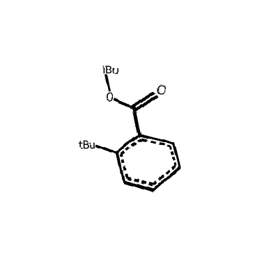 CCC(C)OC(=O)c1ccccc1C(C)(C)C